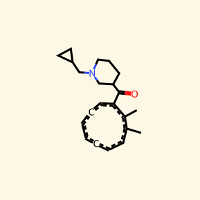 Cc1cccccccc(C(=O)C2CCCN(CC3CC3)C2)c1C